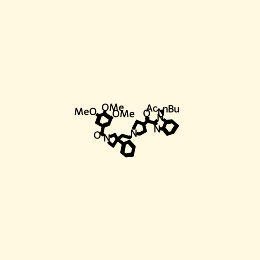 CCCCN(C(C)=O)n1c(C(=O)C2CCN(CCC3(c4ccccc4)CCN(C(=O)c4cc(OC)c(OC)c(OC)c4)C3)CC2)nc2ccccc21